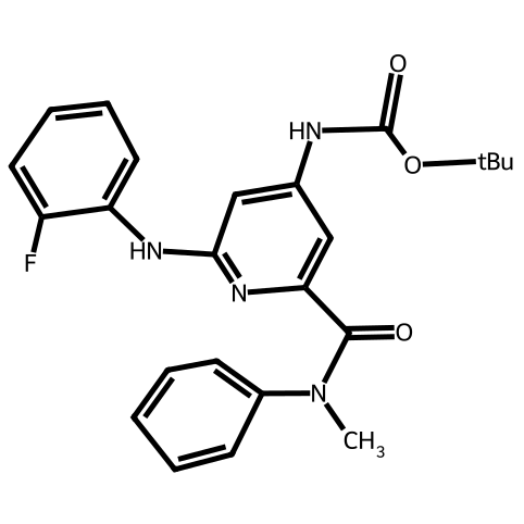 CN(C(=O)c1cc(NC(=O)OC(C)(C)C)cc(Nc2ccccc2F)n1)c1ccccc1